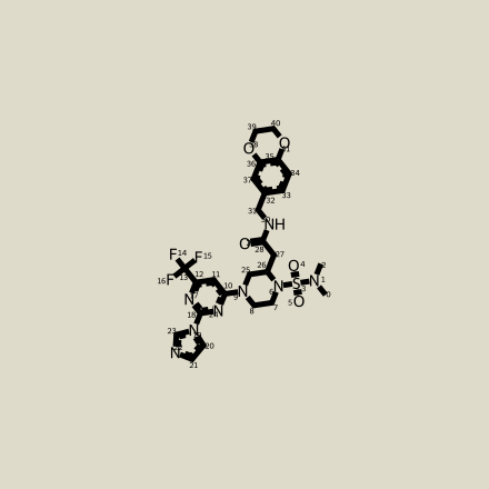 CN(C)S(=O)(=O)N1CCN(c2cc(C(F)(F)F)nc(-n3ccnc3)n2)CC1CC(=O)NCc1ccc2c(c1)OCCO2